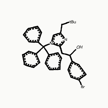 CC(C)(C)Cc1cn(C(c2ccccc2)(c2ccccc2)c2ccccc2)c(CC(O)c2ccc(Br)cc2)n1